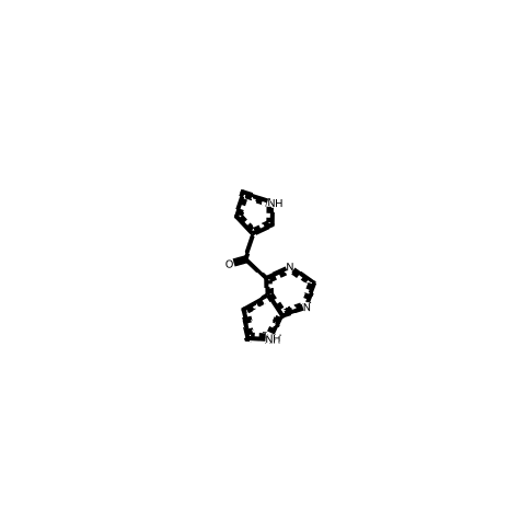 O=C(c1cc[nH]c1)c1ncnc2[nH]ccc12